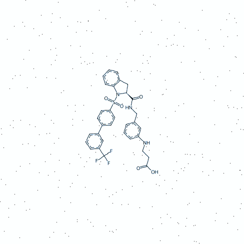 O=C(O)CCNc1cccc(CNC(=O)[C@@H]2Cc3ccccc3N2S(=O)(=O)c2ccc(-c3cccc(C(F)(F)F)c3)cc2)c1